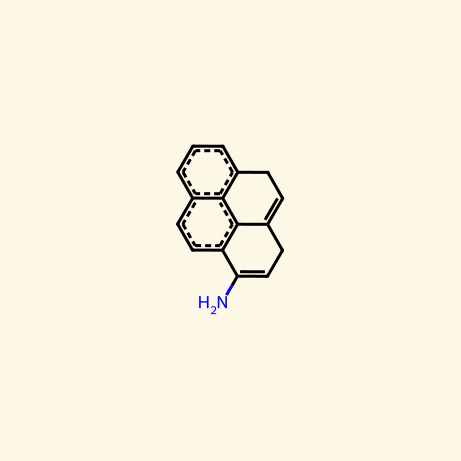 NC1=CCC2=CCc3cccc4ccc1c2c34